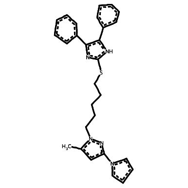 Cc1cc(-n2cccc2)nn1CCCCCSc1nc(-c2ccccc2)c(-c2ccccc2)[nH]1